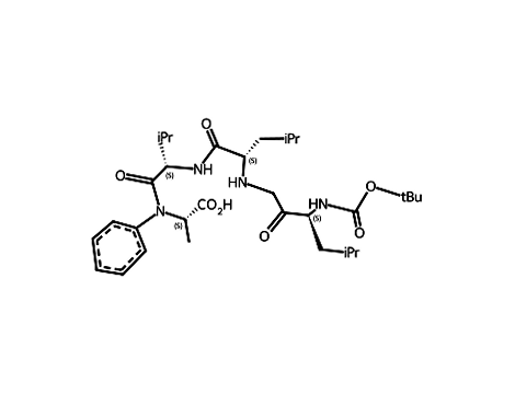 CC(C)C[C@H](NC(=O)OC(C)(C)C)C(=O)CN[C@@H](CC(C)C)C(=O)N[C@H](C(=O)N(c1ccccc1)[C@@H](C)C(=O)O)C(C)C